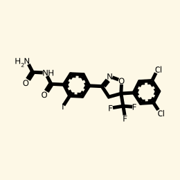 NC(=O)NC(=O)c1ccc(C2=NOC(c3cc(Cl)cc(Cl)c3)(C(F)(F)F)C2)cc1I